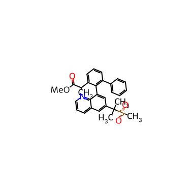 COC(=O)C(C)c1cccc(-c2ccccc2)c1-c1cc(C(C)(C)S(C)(=O)=O)cc2cccnc12